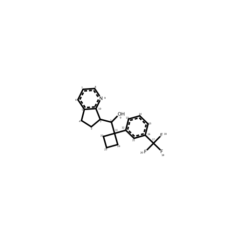 OC(C1CCc2cccnc21)C1(c2cccc(C(F)(F)F)c2)CCC1